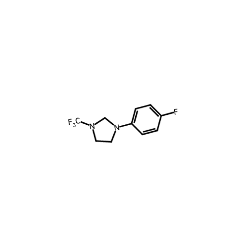 Fc1ccc(N2CCN(C(F)(F)F)C2)cc1